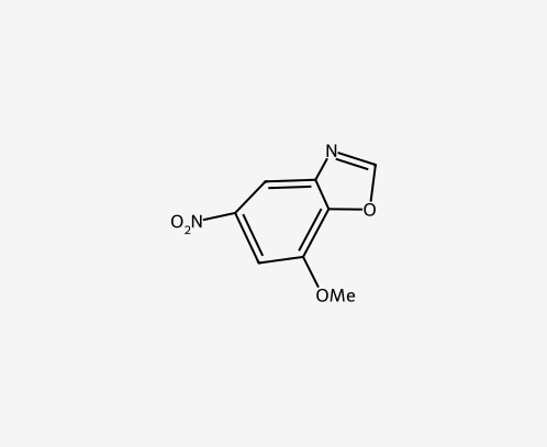 COc1cc([N+](=O)[O-])cc2ncoc12